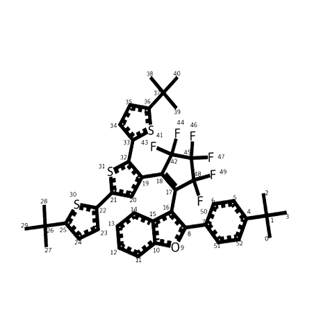 CC(C)(C)c1ccc(-c2oc3ccccc3c2C2=C(c3cc(-c4ccc(C(C)(C)C)s4)sc3-c3ccc(C(C)(C)C)s3)C(F)(F)C(F)(F)C2(F)F)cc1